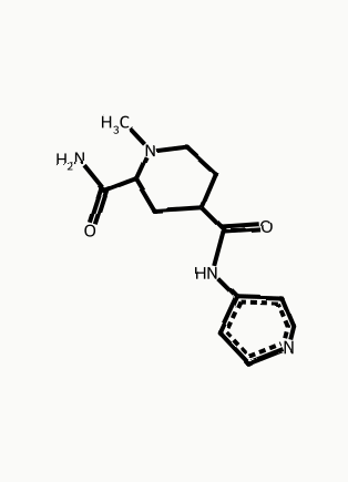 CN1CCC(C(=O)Nc2ccncc2)CC1C(N)=O